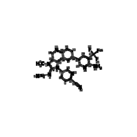 Cn1c(=NC#N)n(-c2ccc(C#N)nc2)c2c3cc(-c4cnc(N)c(C(F)(F)F)c4)ccc3ncc21